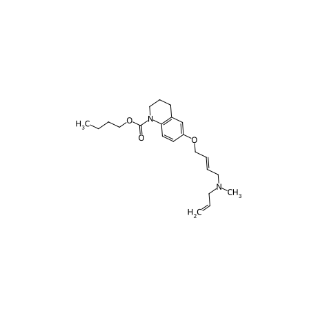 C=CCN(C)CC=CCOc1ccc2c(c1)CCCN2C(=O)OCCCC